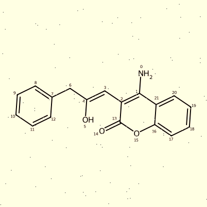 Nc1c(/C=C(\O)Cc2ccccc2)c(=O)oc2ccccc12